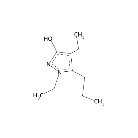 CCCc1c(CC)c(O)nn1CC